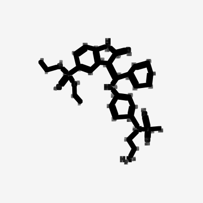 CCOP(=O)(OCC)c1ccc2c(c1)C(=C(Nc1ccc(N(CCN)S(C)(=O)=O)cc1)c1ccccc1)C(=O)N2